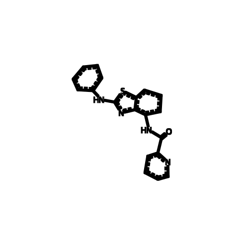 O=C(Nc1cccc2sc(Nc3ccccc3)nc12)c1ccccn1